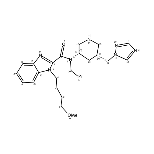 COCCCCn1c(C(=O)N(CC(C)C)[C@@H]2CNC[C@H](Cn3cncn3)C2)nc2ccccc21